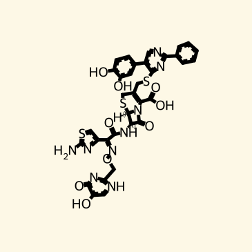 Nc1nc(C(=NOCc2nc(=O)c(O)c[nH]2)C(=O)N[C@@H]2C(=O)N3C(C(=O)O)=C(CSc4nc(-c5ccccc5)ncc4-c4ccc(O)c(O)c4)CS[C@H]23)cs1